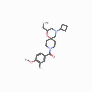 COCC1CN(C2CCC2)CC2(CCN(C(=O)c3ccc(OC(C)C)c(C)c3)CC2)O1